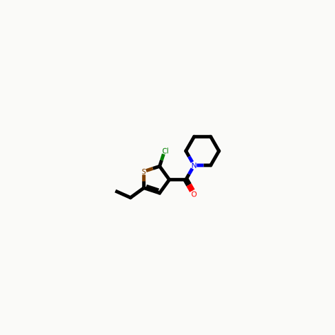 CCC1=CC(C(=O)N2CCCCC2)C(Cl)S1